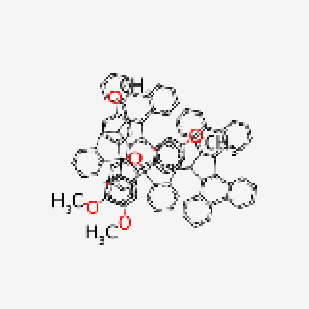 COc1ccc(C(OC(c2ccc(OC)cc2)(c2ccc(OC)cc2)c2ccccc2CC2c3c(c4ccccc4c4ccccc34)-c3c2c2ccccc2c2ccccc32)(c2ccc(OC)cc2)c2ccccc2CC2c3c(c4ccccc4c4ccccc34)-c3c2c2ccccc2c2ccccc32)cc1